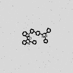 c1ccc(-c2cc(-c3ccc(-c4cccc(-n5c6ccccc6c6c7c(oc65)c(-c5ccccc5)nc5ccccc57)c4)cc3)nc(-c3ccccc3)n2)cc1